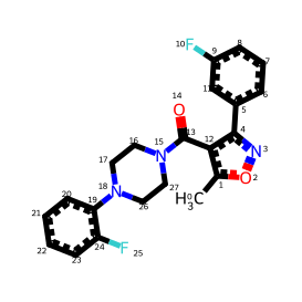 Cc1onc(-c2cccc(F)c2)c1C(=O)N1CCN(c2ccccc2F)CC1